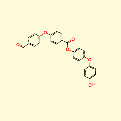 O=Cc1ccc(Oc2ccc(C(=O)Oc3ccc(Oc4ccc(O)cc4)cc3)cc2)cc1